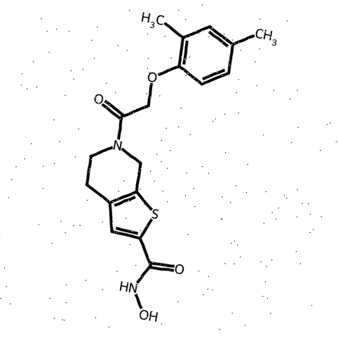 Cc1ccc(OCC(=O)N2CCc3cc(C(=O)NO)sc3C2)c(C)c1